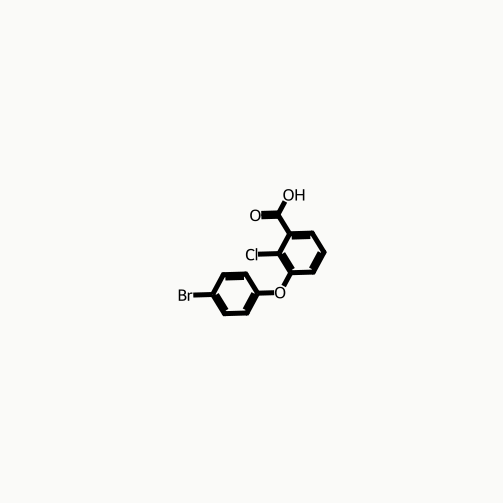 O=C(O)c1cccc(Oc2ccc(Br)cc2)c1Cl